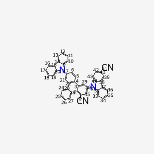 N#Cc1cc(-c2ccc(-n3c4ccccc4c4ccccc43)cc2-c2ccccc2)cc(-n2c3ccccc3c3cc(C#N)ccc32)c1